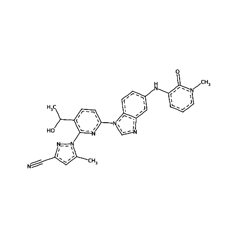 Cc1cc(C#N)nn1-c1nc(-n2cnc3cc(Nc4cccn(C)c4=O)ccc32)ccc1C(C)O